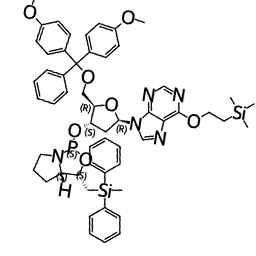 COc1ccc(C(OC[C@H]2O[C@@H](n3cnc4c(OCC[Si](C)(C)C)ncnc43)C[C@@H]2O[P@]2O[C@H](C[Si](C)(c3ccccc3)c3ccccc3)[C@@H]3CCCN32)(c2ccccc2)c2ccc(OC)cc2)cc1